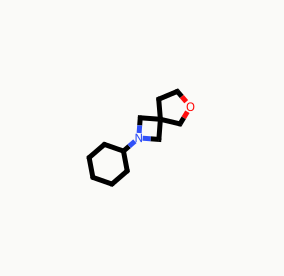 C1CCC(N2CC3(CCOC3)C2)CC1